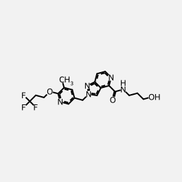 Cc1cc(Cn2cc3c(C(=O)NCCCO)nccc3n2)cnc1OCCC(F)(F)F